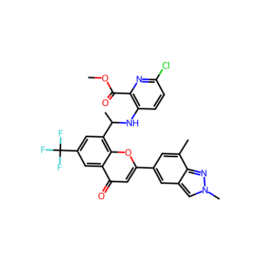 COC(=O)c1nc(Cl)ccc1NC(C)c1cc(C(F)(F)F)cc2c(=O)cc(-c3cc(C)c4nn(C)cc4c3)oc12